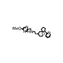 COc1cnc(CNCC[C@@H]2CCOC3(CCCC3c3ccccn3)C2)cn1